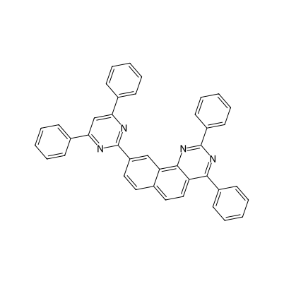 c1ccc(-c2cc(-c3ccccc3)nc(-c3ccc4ccc5c(-c6ccccc6)nc(-c6ccccc6)nc5c4c3)n2)cc1